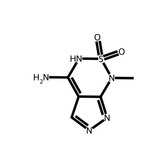 CN1C2=NN=CC2=C(N)NS1(=O)=O